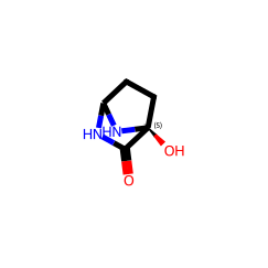 O=C1NC2CC[C@@]1(O)N2